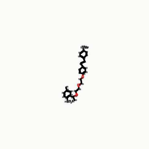 CNc1ccc(/C=C/c2ccc(OCCOCCOC(C)c3cc(C)ccc3S(=O)(=O)O)cc2)cc1